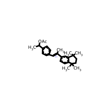 CC(=O)OC(C)c1ccc(/C=C(\C)c2ccc3c(c2)C(C)(C)CCC3(C)C)cc1